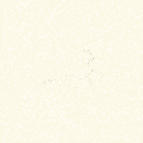 CC(C)c1onc(-c2ccccc2)c1-c1ccc(S(N)(=O)=O)cc1